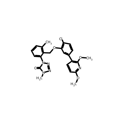 COc1ccc(-c2ccc(Cl)c(OCc3c(C)cccc3-n3nnn(C)c3=O)c2)c(OC)n1